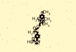 COc1cc(C)c(S(=O)(=O)N(C)CCOCC(=O)N(C)Cc2ccc(C3=NCCN3C(=O)O)cc2)c(C)c1